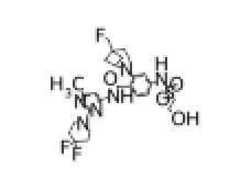 Cc1cc(NC(=O)c2ccc(NS(=O)(=O)CCO)cc2N2CCC3(CF)CC2C3)nc(N2CCC(F)(F)CC2)n1